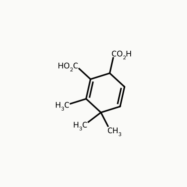 CC1=C(C(=O)O)C(C(=O)O)C=CC1(C)C